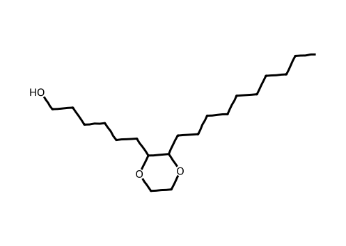 CCCCCCCCCCC1OCCOC1CCCCCCO